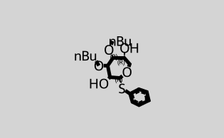 CCCCOC1C(O)[C@@H](Sc2ccccc2)OC[C@@H](O)[C@H]1OCCCC